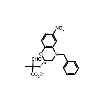 CCOC(=O)C(C)(C=O)C[C@H]1CN(Cc2ccccc2)c2cc([N+](=O)[O-])ccc2O1